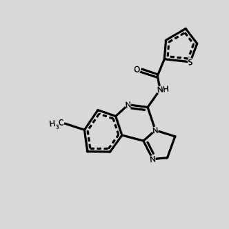 Cc1ccc2c(c1)N=C(NC(=O)c1cccs1)N1CCN=C21